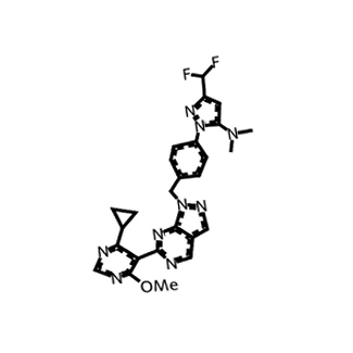 COc1ncnc(C2CC2)c1-c1ncc2cnn(Cc3ccc(-n4nc(C(F)F)cc4N(C)C)cc3)c2n1